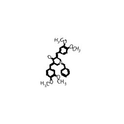 COc1ccc(C=C2CN(Cc3ccccc3)CC(=Cc3ccc(OC)c(OC)c3)C2=O)cc1OC